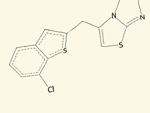 Clc1cccc2cc(CC3=CSC4=NCCN34)sc12